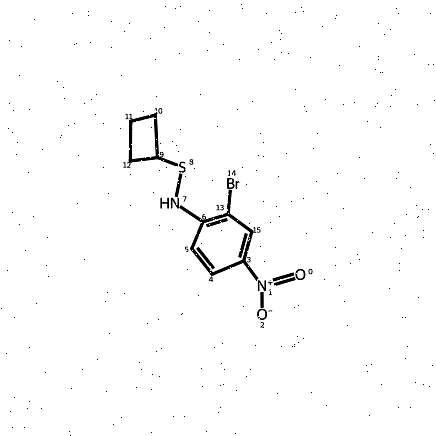 O=[N+]([O-])c1ccc(NSC2CCC2)c(Br)c1